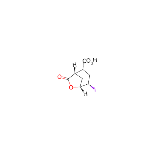 O=C1O[C@@H]2C[C@H]1[C@H](C(=O)O)C[C@H]2I